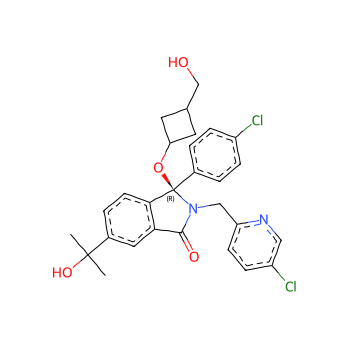 CC(C)(O)c1ccc2c(c1)C(=O)N(Cc1ccc(Cl)cn1)[C@@]2(OC1CC(CO)C1)c1ccc(Cl)cc1